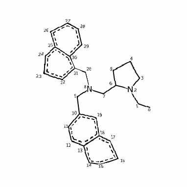 CCN1CCCC1CN(Cc1ccc2ccccc2c1)Cc1cccc2ccccc12